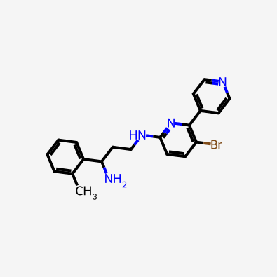 Cc1ccccc1C(N)CCNc1ccc(Br)c(-c2ccncc2)n1